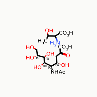 CC(=O)N[C@@H]([C@@H](O)[C@H](O)[C@H](O)CO)[C@@H](O)CC(=O)C(=O)O.CC(O)C(N)C(=O)O